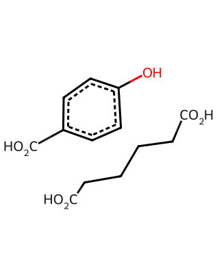 O=C(O)CCCCC(=O)O.O=C(O)c1ccc(O)cc1